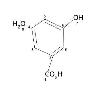 O.O=C(O)c1cccc(O)c1